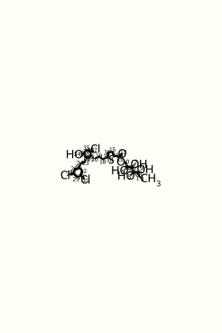 CC[C@@H](O)[C@@H](O)[C@H](O)[C@H](O)COC(=O)c1ccc(CCC[C@@H]2[C@@H](CCc3cc(Cl)cc(Cl)c3)[C@H](O)C[C@H]2Cl)s1